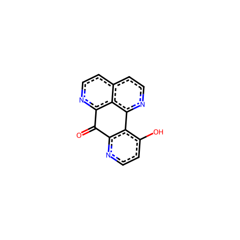 O=C1c2nccc(O)c2-c2nccc3ccnc1c23